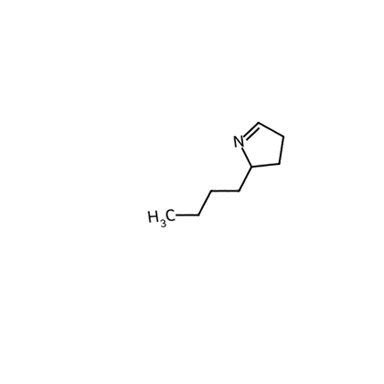 CCCCC1CCC=N1